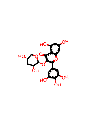 O=c1c(O[C@@H]2OC[C@@H](O)C[C@H]2O)c(-c2cc(O)c(O)c(O)c2)oc2cc(O)cc(O)c12